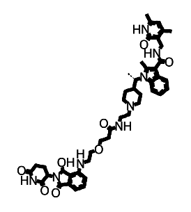 Cc1cc(C)c(CNC(=O)c2c(C)n([C@@H](C)C3CCN(CCNC(=O)CCOCCNc4cccc5c4C(O)N(C4CCC(=O)NC4=O)C5=O)CC3)c3ccccc23)c(=O)[nH]1